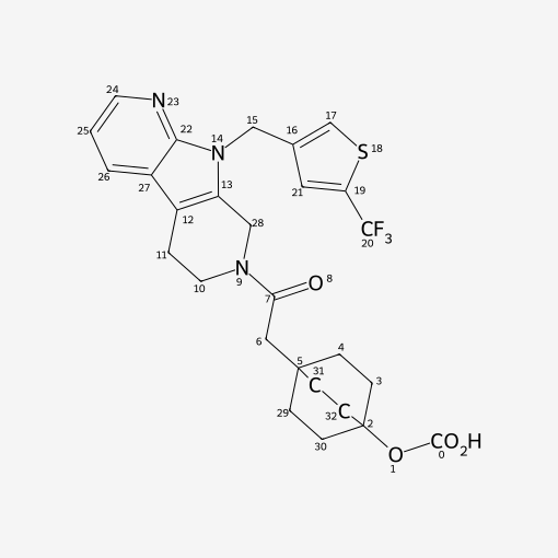 O=C(O)OC12CCC(CC(=O)N3CCc4c(n(Cc5csc(C(F)(F)F)c5)c5ncccc45)C3)(CC1)CC2